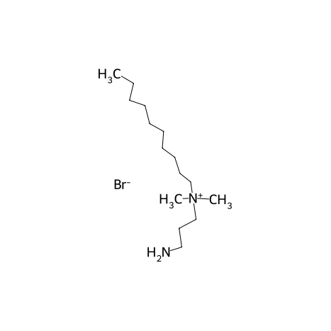 CCCCCCCCCC[N+](C)(C)CCCN.[Br-]